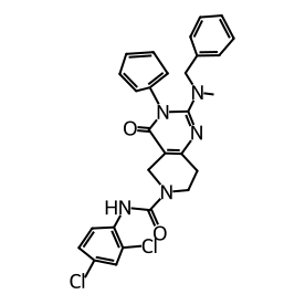 CN(Cc1ccccc1)c1nc2c(c(=O)n1-c1ccccc1)CN(C(=O)Nc1ccc(Cl)cc1Cl)CC2